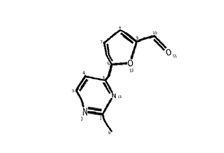 Cc1nccc(-c2ccc(C=O)o2)n1